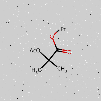 [CH2]C(=O)OC(C)(C)C(=O)OC(C)C